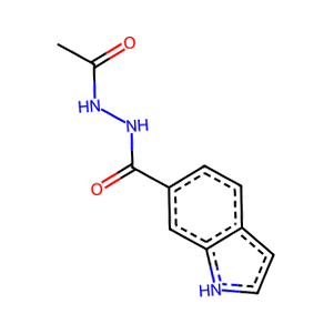 CC(=O)NNC(=O)c1ccc2cc[nH]c2c1